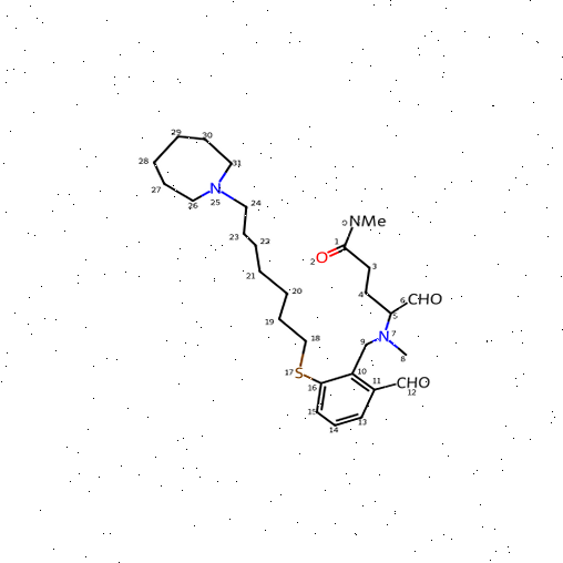 CNC(=O)CCC(C=O)N(C)Cc1c(C=O)cccc1SCCCCCCCN1CCCCCC1